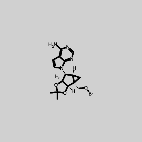 CC1(C)O[C@H]2[C@H](n3ccc4c(N)ncnc43)[C@H]3C[C@@]3(COBr)[C@H]2O1